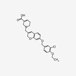 CCOc1ccc(COc2ccc3c(c2)OCC(CN2CCC=C(C(=O)O)C2)=C3)cc1Cl